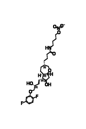 O=C(CCC[C@H]1CC[C@@H]2[C@@H](C=C[C@@H](O)COc3cc(F)ccc3F)[C@H](O)C[C@@H]2OC1)NCCCCO[N+](=O)[O-]